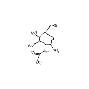 CC(=O)N[C@@H]1[C@@H](O)[C@@H](O)[C@@H](CO)O[C@H]1N